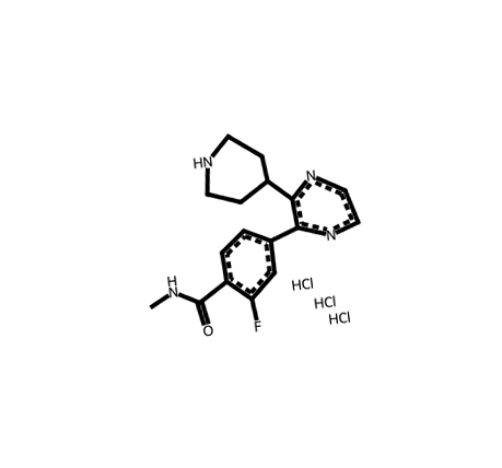 CNC(=O)c1ccc(-c2nccnc2C2CCNCC2)cc1F.Cl.Cl.Cl